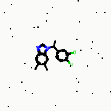 Cc1cc2ncn(C(C)c3ccc(Cl)c(Cl)c3)c2cc1C